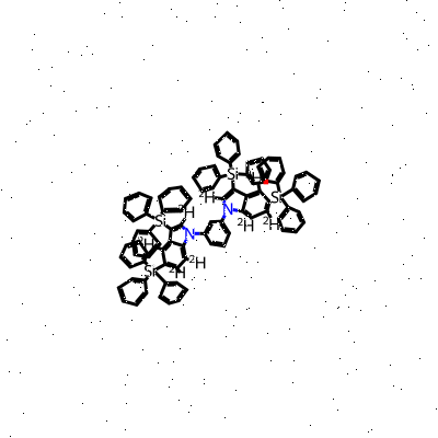 [2H]c1c([Si](c2ccccc2)(c2ccccc2)c2ccccc2)c([2H])c2c([Si](c3ccccc3)(c3ccccc3)c3ccccc3)c([2H])n(-c3cccc(-n4c([2H])c([Si](c5ccccc5)(c5ccccc5)c5ccccc5)c5c([2H])c([Si](c6ccccc6)(c6ccccc6)c6ccccc6)c([2H])c([2H])c54)c3)c2c1[2H]